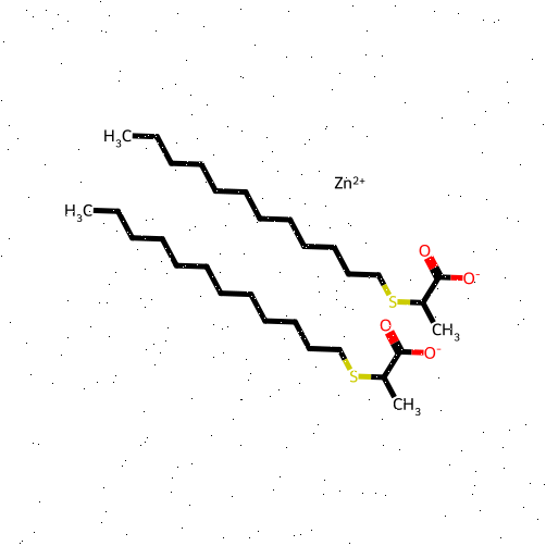 CCCCCCCCCCCCSC(C)C(=O)[O-].CCCCCCCCCCCCSC(C)C(=O)[O-].[Zn+2]